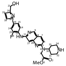 COC(=O)CN(c1ccc2cnc(Nc3ccc(-n4ccc(CO)n4)cc3F)cc2n1)C1CCNCC1